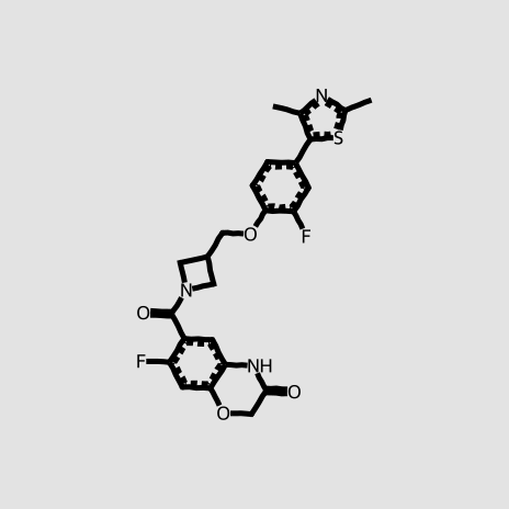 Cc1nc(C)c(-c2ccc(OCC3CN(C(=O)c4cc5c(cc4F)OCC(=O)N5)C3)c(F)c2)s1